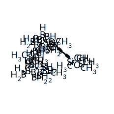 BBB(B)C(B(B)B)(B(B)BC[Si](C)(C)O[Si](C)(C)C(B(B)B)(B(B)BB)B(B)BCC)[Si](C)(C)O[Si](C)(C)C#CC#C[Si](C)(C)O[Si](C)(C)C